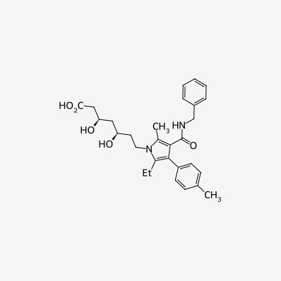 CCc1c(-c2ccc(C)cc2)c(C(=O)NCc2ccccc2)c(C)n1CC[C@@H](O)C[C@@H](O)CC(=O)O